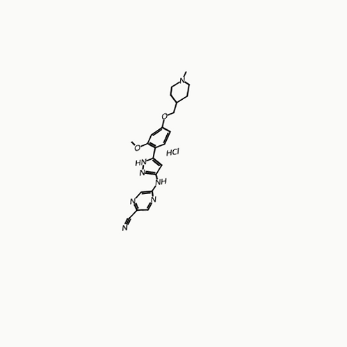 COc1cc(OCC2CCN(C)CC2)ccc1-c1cc(Nc2cnc(C#N)cn2)n[nH]1.Cl